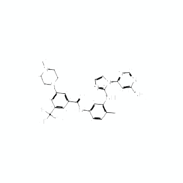 Cc1ccc(NC(=O)c2cc(N3CCN(C)CC3)cc(C(F)(F)F)c2)cc1Nc1nccn1-c1cc(N)ncn1